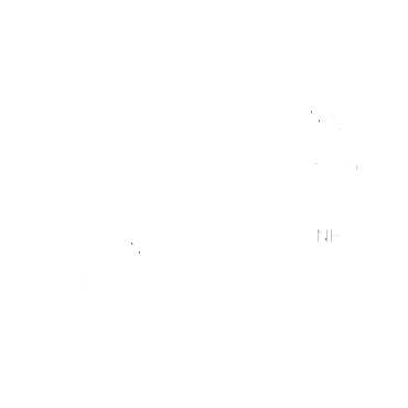 C=CC(=O)N1CCC(c2ccc(C(N)=O)c3[nH]c(C)cc23)C1